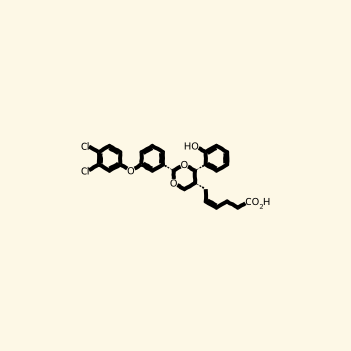 O=C(O)CC/C=C\C[C@@H]1CO[C@H](c2cccc(Oc3ccc(Cl)c(Cl)c3)c2)O[C@@H]1c1ccccc1O